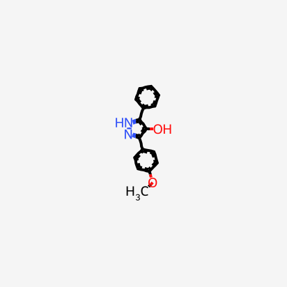 COc1ccc(-c2n[nH]c(-c3ccccc3)c2O)cc1